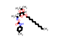 CCCCCCCCCCCCO[C@H]1O[C@H](/C(C)=N\OC(=O)Nc2ccc(C)cc2)[C@@H]2OC(C)(C)O[C@H]12